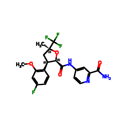 COc1cc(F)ccc1[C@H]1C[C@@](C)(C(F)(F)F)O[C@H]1C(=O)Nc1ccnc(C(N)=O)c1